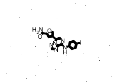 NC(=O)c1cc(-c2cnc(Nc3ccc(I)cc3)c3ncnn23)co1